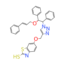 Sc1nc2ccc(OCc3cn(C(c4ccccc4)[C@@H](OC/C=C/c4ccccc4)c4ccccc4)nn3)cc2s1